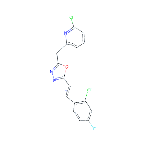 Fc1ccc(/C=C/c2nnc(Cc3cccc(Cl)n3)o2)c(Cl)c1